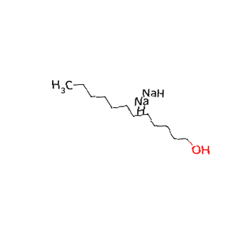 CCCCCCCCCCCCO.[NaH].[NaH]